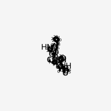 CC1=CN([C@H]2C[C@@H](CC(=O)O)[C@H](COC(=O)OCCN(Cc3ccccc3)CC3CCCCN3)O2)C(C2COCCO2)NC1C1COCCO1